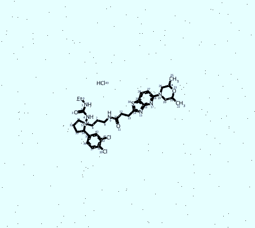 CCNC(=O)N[N+]1(CCCNC(=O)CCc2nc3nc(N4CC(C)OC(C)C4)ccc3s2)CCCC1c1ccc(Cl)c(Cl)c1.Cl